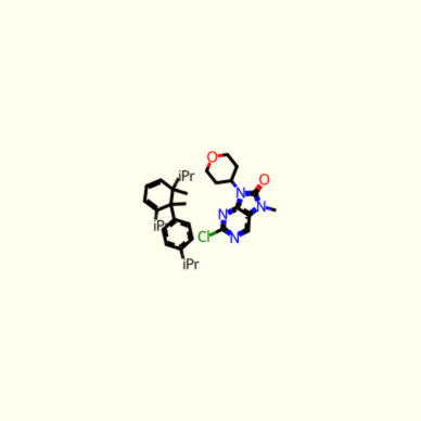 CC(C)C1=CC=CC(C)(C(C)C)C1(C)c1ccc(C(C)C)cc1.Cn1c(=O)n(C2CCOCC2)c2nc(Cl)ncc21